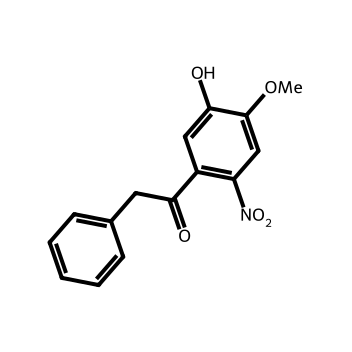 COc1cc([N+](=O)[O-])c(C(=O)Cc2ccccc2)cc1O